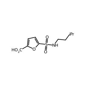 CC(C)CCNS(=O)(=O)c1ccc(C(=O)O)o1